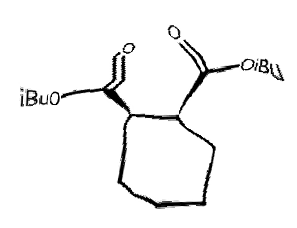 CC(C)COC(=O)[C@H]1CCCC[C@H]1C(=O)OCC(C)C